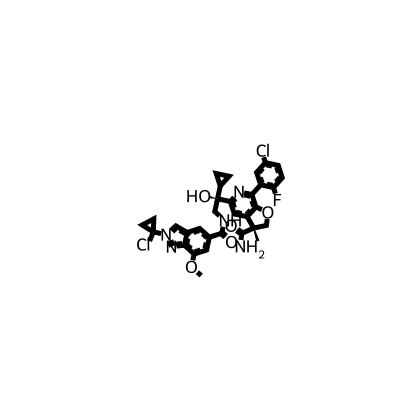 COc1cc(C(=O)NC[C@](O)(c2cc3c(c(-c4cc(Cl)ccc4F)n2)OC[C@]3(C)C(N)=O)C2CC2)cc2cn(C3(Cl)CC3)nc12